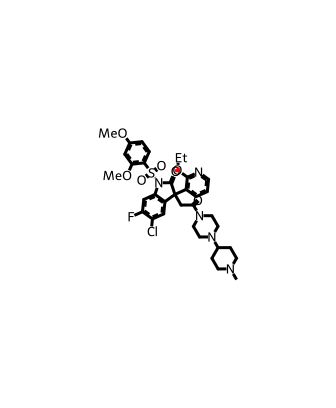 CCOc1ncccc1C1(CC(=O)N2CCN(C3CCN(C)CC3)CC2)C(=O)N(S(=O)(=O)c2ccc(OC)cc2OC)c2cc(F)c(Cl)cc21